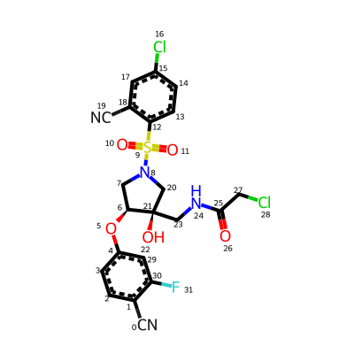 N#Cc1ccc(O[C@H]2CN(S(=O)(=O)c3ccc(Cl)cc3C#N)C[C@]2(O)CNC(=O)CCl)cc1F